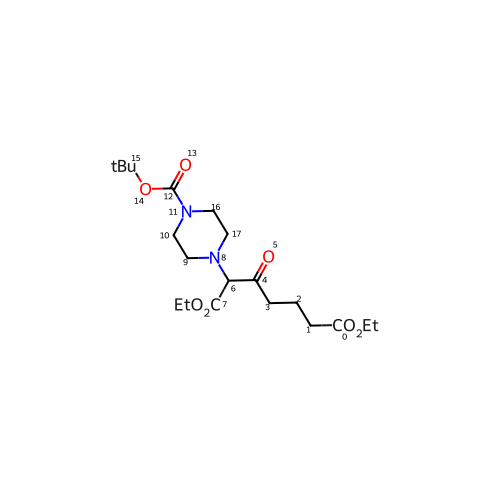 CCOC(=O)CCCC(=O)C(C(=O)OCC)N1CCN(C(=O)OC(C)(C)C)CC1